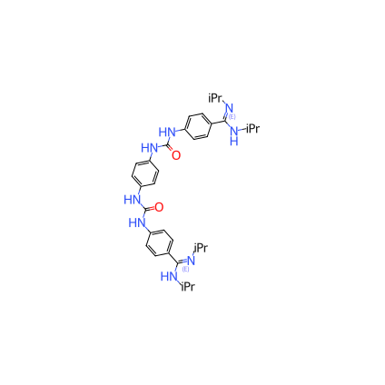 CC(C)/N=C(/NC(C)C)c1ccc(NC(=O)Nc2ccc(NC(=O)Nc3ccc(/C(=N\C(C)C)NC(C)C)cc3)cc2)cc1